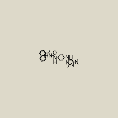 Cc1nc(N[C@H]2CC[C@@H](NC(=O)NC(C)c3cccc4ccccc34)CC2)cc(N(C)C)n1